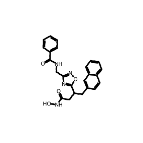 O=C(CC(Cc1ccc2ccccc2c1)c1nc(CNC(=O)c2ccccc2)no1)NO